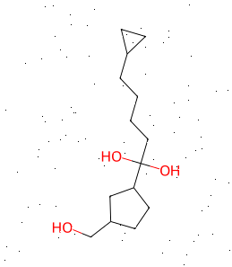 OCC1CCC(C(O)(O)CCCCC2CC2)C1